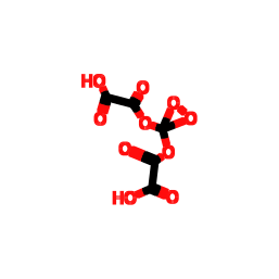 O=C(O)C(=O)OC1(OC(=O)C(=O)O)OO1